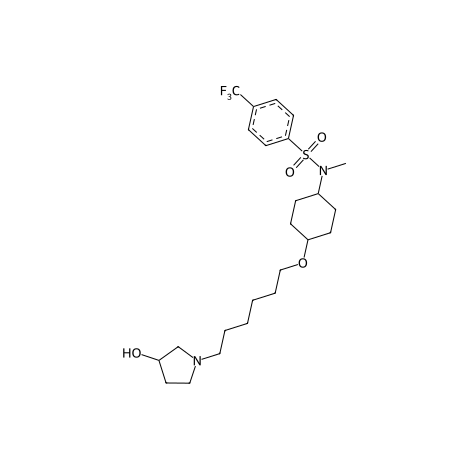 CN(C1CCC(OCCCCCCN2CCC(O)C2)CC1)S(=O)(=O)c1ccc(C(F)(F)F)cc1